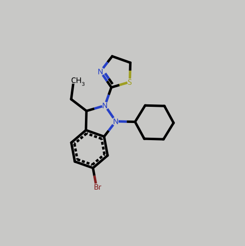 CCC1c2ccc(Br)cc2N(C2CCCCC2)N1C1=NCCS1